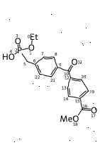 CCOP(=O)(O)Cc1ccc(C(=O)c2ccc(C(=O)OC)cc2)cc1